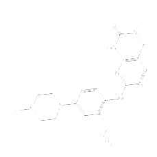 COc1cc(N2CCN(C)CC2)ccc1Nc1ncc2c(n1)NC(=O)NC2